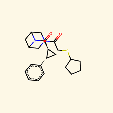 O=C(CSC1CCCC1)N1CC2CC(C1)N2C(=O)[C@H]1C[C@@H]1c1ccccc1